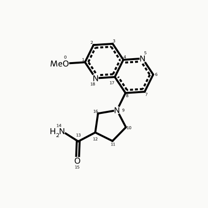 COc1ccc2nccc(N3CCC(C(N)=O)C3)c2n1